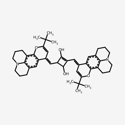 CC(C)(C)C1=C/C(=C\C2=C(O)C(/C=C3\C=C(C(C)(C)C)Oc4c3cc3c5c4CCCN5CCC3)C2O)c2cc3c4c(c2O1)CCCN4CCC3